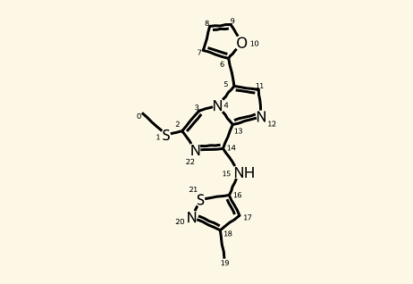 CSc1cn2c(-c3ccco3)cnc2c(Nc2cc(C)ns2)n1